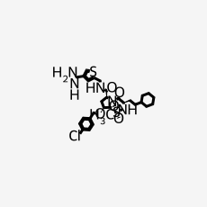 CS(=O)(=O)N[C@H](CCC1CCCCC1)C(=O)N1C[C@H](OCc2ccc(Cl)cc2)C[C@H]1C(=O)NCc1cc(C(=N)N)cs1